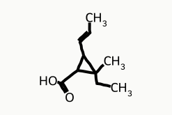 CC=CC1C(C(=O)O)C1(C)CC